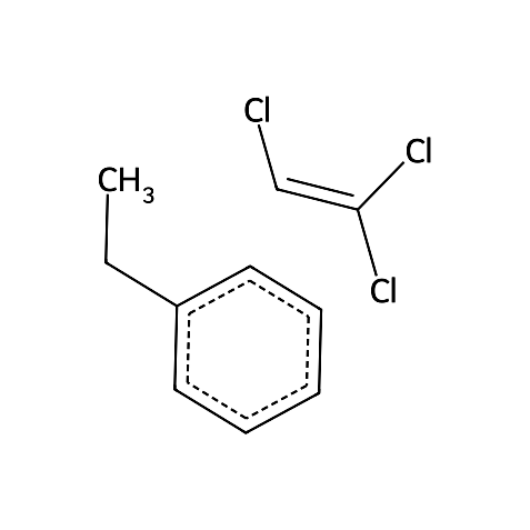 CCc1ccccc1.ClC=C(Cl)Cl